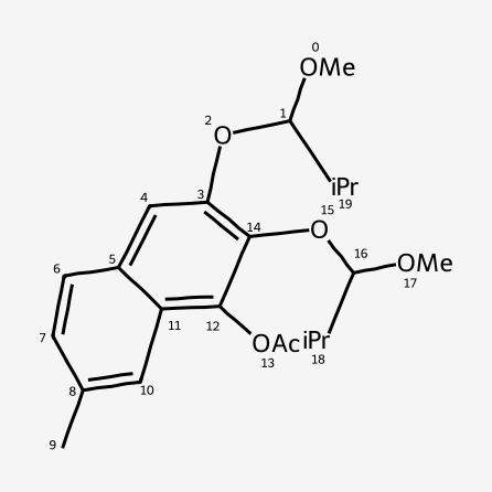 COC(Oc1cc2ccc(C)cc2c(OC(C)=O)c1OC(OC)C(C)C)C(C)C